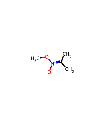 CO[N+]([O-])=C(C)C